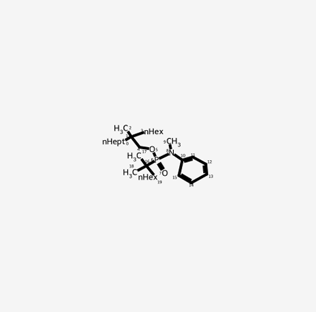 CCCCCCCC(C)(CCCCCC)COP(=O)(N(C)c1ccccc1)C(C)(C)CCCCCC